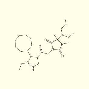 CCCC(CC)C1(C)C(=O)N(CC(=O)C2CNN(CC)C2C2CCCCCCC2)C(=O)N1C